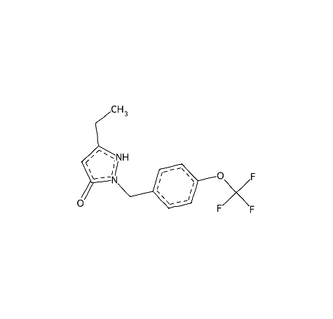 CCc1cc(=O)n(Cc2ccc(OC(F)(F)F)cc2)[nH]1